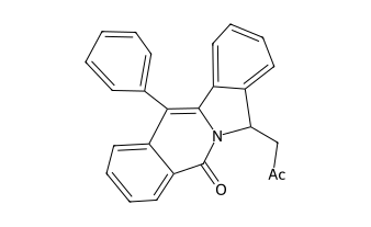 CC(=O)CC1c2ccccc2-c2c(-c3ccccc3)c3ccccc3c(=O)n21